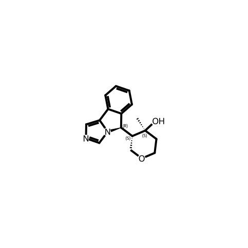 C[C@]1(O)CCOC[C@@H]1[C@@H]1c2ccccc2-c2cncn21